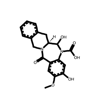 COc1cc2c(cc1O)N(C(=O)O)C(O)[C@@H]1Cc3ccccc3CN1C2=O